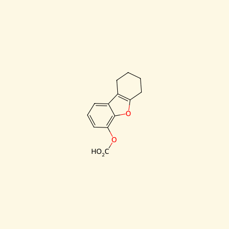 O=C(O)Oc1cccc2c3c(oc12)CCCC3